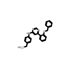 O=C(O)Cc1ccc(Nc2cc(-c3ccccc3OCc3ccccc3)ncn2)cc1